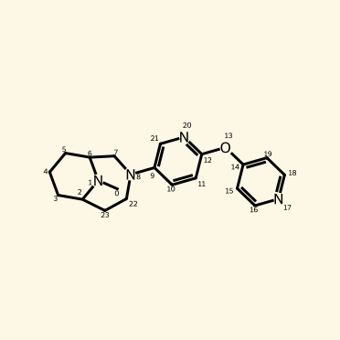 CN1C2CCCC1CN(c1ccc(Oc3ccncc3)nc1)CC2